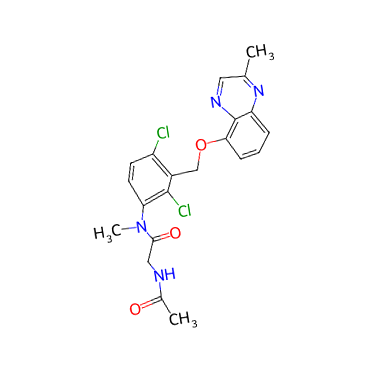 CC(=O)NCC(=O)N(C)c1ccc(Cl)c(COc2cccc3nc(C)cnc23)c1Cl